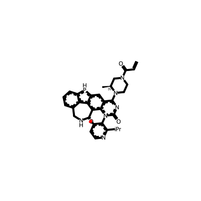 C=CC(=O)N1CCN(c2nc(=O)n(-c3c(C)ccnc3C(C)C)c3c4c5c(cc23)[pH]c2cccc(c25)CNC4=O)[C@@H](C)C1